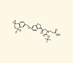 CC(C)(C)OC(=O)N(CCC(=O)O)CC(=O)N1CCc2cc(OCc3ccc(C4(C)CC4)c(C(F)(F)F)c3)ccc21